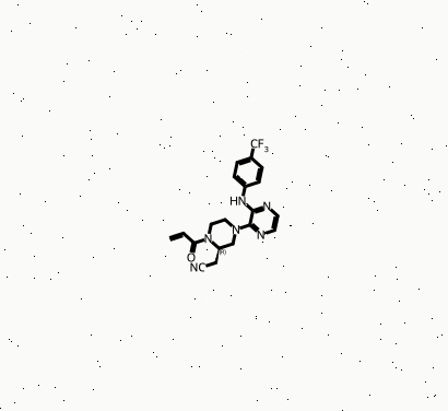 C=CC(=O)N1CCN(c2nccnc2Nc2ccc(C(F)(F)F)cc2)C[C@H]1CC#N